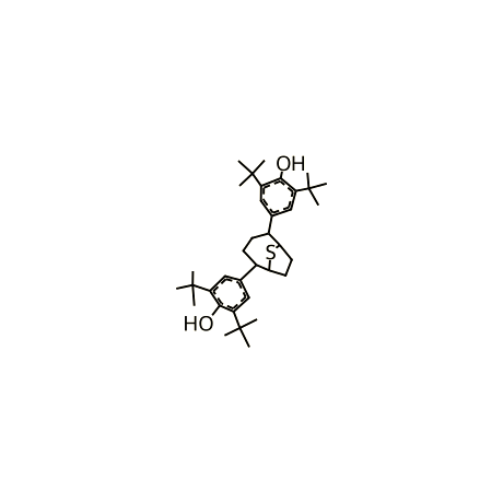 CC(C)(C)c1cc(C2CCC(c3cc(C(C)(C)C)c(O)c(C(C)(C)C)c3)C3CCC2S3)cc(C(C)(C)C)c1O